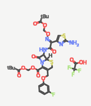 CC(C)(C)C(=O)OCON=C(C(=O)NC1C(=O)N2C(C(=O)OCOC(=O)C(C)(C)C)=C(COc3cccc(F)c3)CS[C@@H]12)c1csc(N)n1.O=C(O)C(F)(F)F